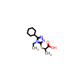 CCn1c(SC(C)C(=O)O)nnc1C1CCCCC1